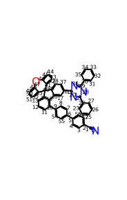 N#Cc1ccc(-c2ccc(-c3cccc4c3-c3cc(-c5nc(-c6ccccc6)nc(-c6ccccc6)n5)ccc3C43c4ccccc4Oc4ccccc43)cc2)cc1